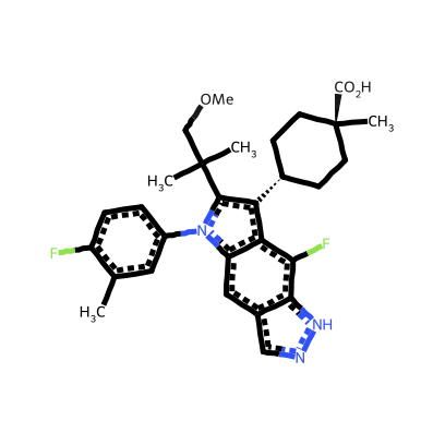 COCC(C)(C)c1c([C@H]2CC[C@](C)(C(=O)O)CC2)c2c(F)c3[nH]ncc3cc2n1-c1ccc(F)c(C)c1